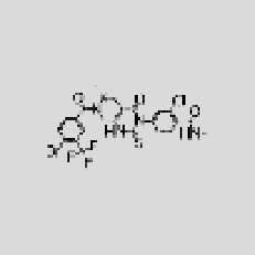 CNC(=O)c1ccc(-n2c(=S)[nH]c3c(c2=O)C[C@@H](C)N(C(=O)c2ccc(Br)c(C(F)(F)F)c2)C3)cc1Cl